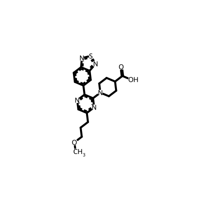 COCCCc1cnc(-c2ccc3nsnc3c2)c(N2CCC(C(=O)O)CC2)n1